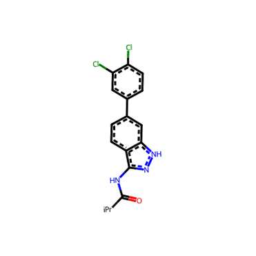 CC(C)C(=O)Nc1n[nH]c2cc(-c3ccc(Cl)c(Cl)c3)ccc12